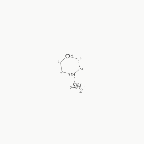 [SiH2]N1CCOCC1